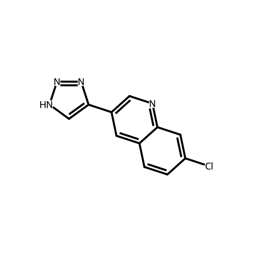 Clc1ccc2cc(-c3c[nH]nn3)cnc2c1